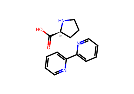 O=C(O)[C@@H]1CCCN1.c1ccc(-c2ccccn2)nc1